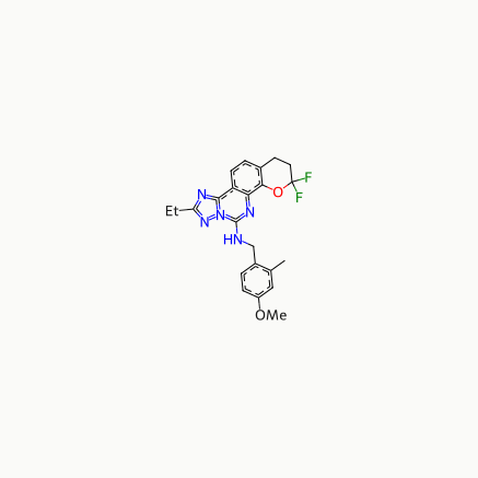 CCc1nc2c3ccc4c(c3nc(NCc3ccc(OC)cc3C)n2n1)OC(F)(F)CC4